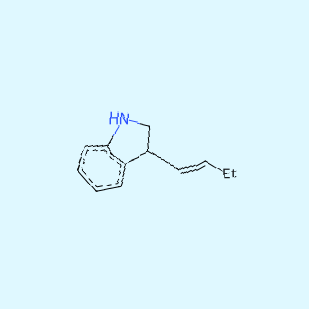 CC/C=C/C1CNc2ccccc21